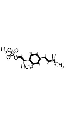 CNCC[C@H]1CC[C@H](CCOS(C)(=O)=O)CC1.Cl